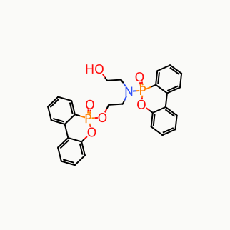 O=P1(OCCN(CCO)P2(=O)Oc3ccccc3-c3ccccc32)Oc2ccccc2-c2ccccc21